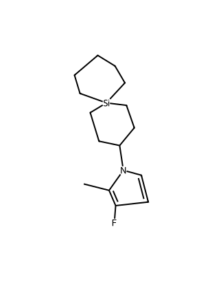 Cc1c(F)ccn1C1CC[Si]2(CCCCC2)CC1